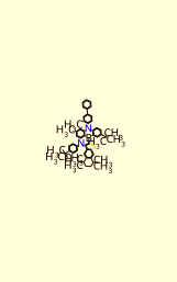 Cc1cc2c3c(c1)N(c1ccc(C(C)(C)C)cc1)c1c(sc4cc5c(cc14)C(C)(C)CCC5(C)C)B3c1cc(C(C)(C)C)ccc1N2c1ccc(-c2ccccc2)cc1C